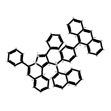 c1ccc(-c2nn3c(-c4ccccc4)cc4ccccc4c3c2N(c2ccc(-c3c4ccccc4cc4ccccc34)cc2)c2cccc3ccccc23)cc1